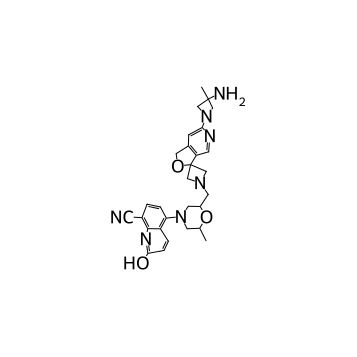 CC1CN(c2ccc(C#N)c3nc(O)ccc23)CC(CN2CC3(C2)OCc2cc(N4CC(C)(N)C4)ncc23)O1